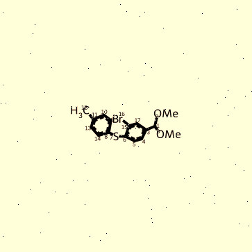 COC(OC)c1ccc(Sc2ccc(C)cc2)c(Br)c1